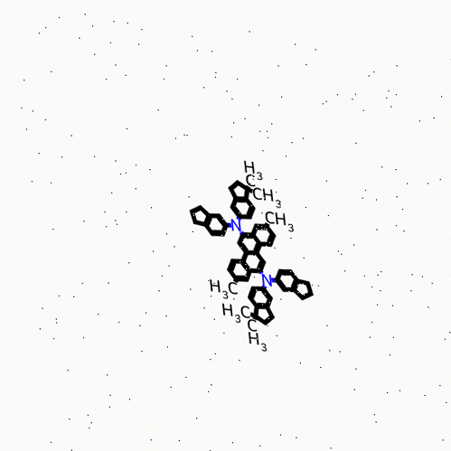 Cc1ccc2c(c1)c(N(c1ccc3c(c1)CCC3)c1ccc3c(c1)CCC3(C)C)cc1c3ccc(C)cc3c(N(c3ccc4c(c3)CCC4)c3ccc4c(c3)CCC4(C)C)cc21